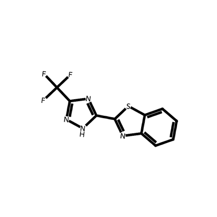 FC(F)(F)c1n[nH]c(-c2nc3ccccc3s2)n1